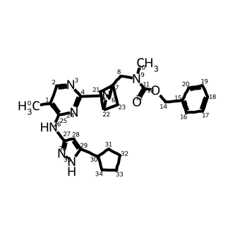 Cc1cnc(N2CC3(CN(C)C(=O)OCc4ccccc4)CC2C3)nc1Nc1cc(C2CCCC2)[nH]n1